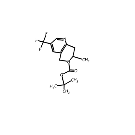 CC1Cc2ncc(C(F)(F)F)cc2CN1C(=O)OC(C)(C)C